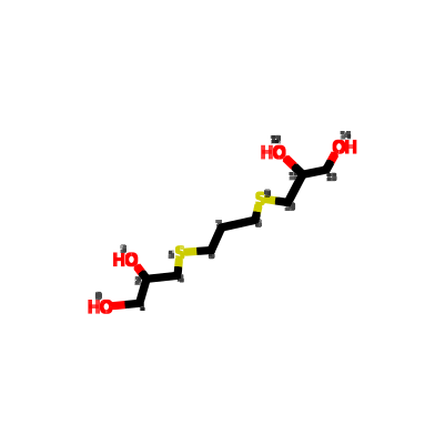 OCC(O)CSCCCSCC(O)CO